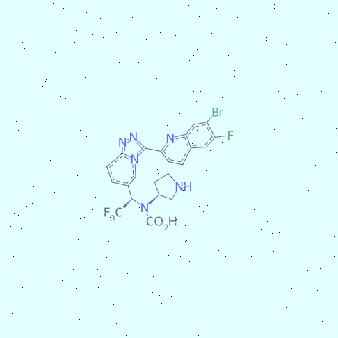 O=C(O)N([C@H]1CCNC1)[C@H](c1ccc2nnc(-c3ccc4cc(F)c(Br)cc4n3)n2c1)C(F)(F)F